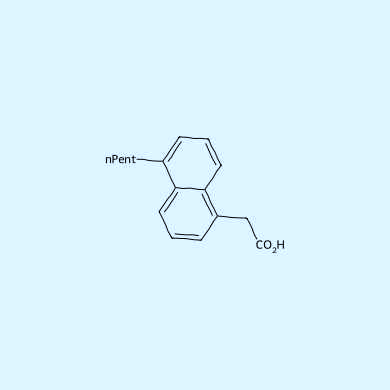 CCCCCc1cccc2c(CC(=O)O)cccc12